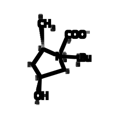 C[C@H]1C[C@H](O)C[N+]1(C(=O)[O-])C(C)(C)C